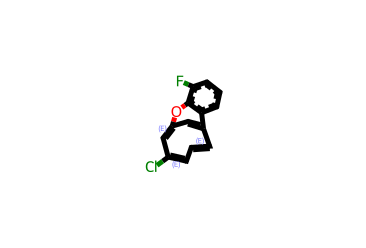 Fc1cccc2c1O/C1=C/C(Cl)=C\C=C\C2=C1